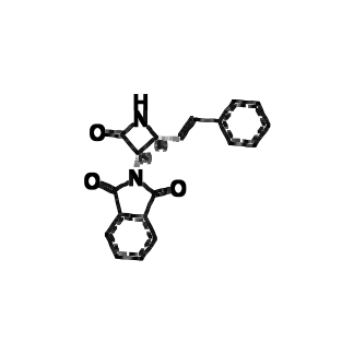 O=C1N[C@H](C=Cc2ccccc2)[C@@H]1N1C(=O)c2ccccc2C1=O